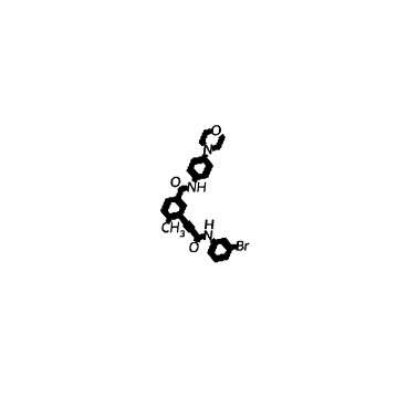 Cc1ccc(C(=O)Nc2ccc(N3CCOCC3)cc2)cc1C#CC(=O)Nc1cccc(Br)c1